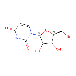 O=c1ccn([C@H]2O[C@@H](CBr)C(O)C2O)c(=O)[nH]1